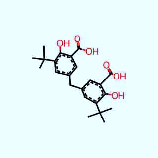 CC(C)(C)c1cc(Cc2cc(C(=O)O)c(O)c(C(C)(C)C)c2)cc(C(=O)O)c1O